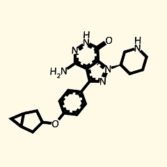 Nc1n[nH]c(=O)c2c1c(-c1ccc(OC3CC4CC4C3)cc1)nn2[C@@H]1CCCNC1